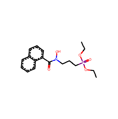 CCOP(=O)(CCCN(O)C(=O)c1cccc2ccccc12)OCC